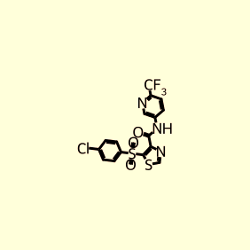 O=C(Nc1ccc(C(F)(F)F)nc1)c1ncsc1S(=O)(=O)c1ccc(Cl)cc1